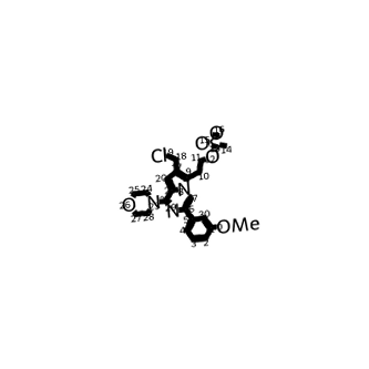 COc1cccc(-c2cn3c(CCOS(C)(=O)=O)c(CCl)cc3c(N3CCOCC3)n2)c1